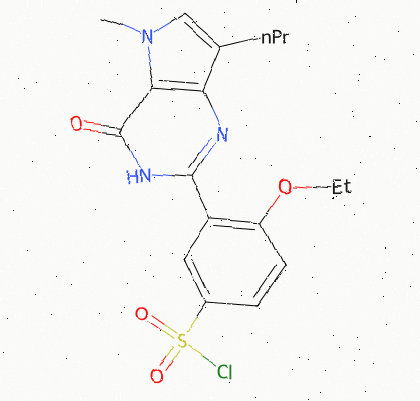 CCCc1cn(C)c2c(=O)[nH]c(-c3cc(S(=O)(=O)Cl)ccc3OCC)nc12